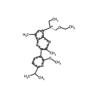 CCOC[C@@H](CC)n1cc(C)c2nc(-c3ccc(C(C)C)nc3OC)c(C)nc21